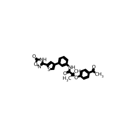 CC(=O)c1ccc(OC(C)(C)C(=O)Nc2cccc(-c3csc(-c4noc(=O)[nH]4)c3)c2)cc1